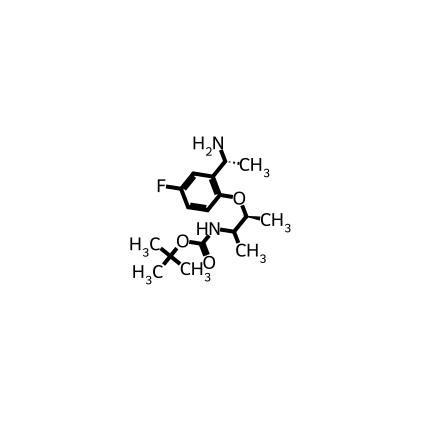 CC(NC(=O)OC(C)(C)C)[C@H](C)Oc1ccc(F)cc1[C@@H](C)N